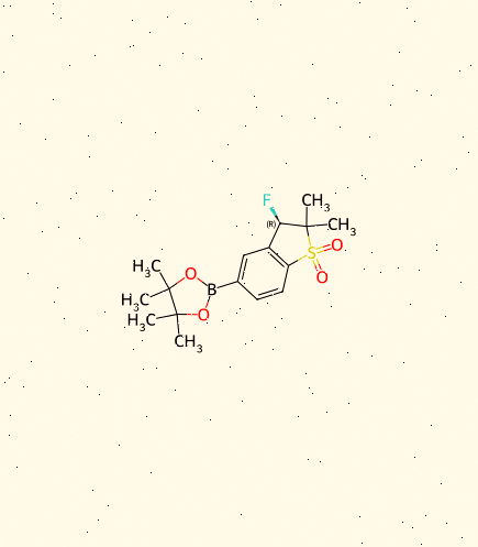 CC1(C)OB(c2ccc3c(c2)[C@@H](F)C(C)(C)S3(=O)=O)OC1(C)C